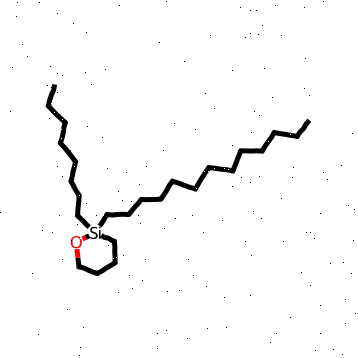 CCCCCCCCCCCCC[Si]1(CCCCCCCC)CCCCO1